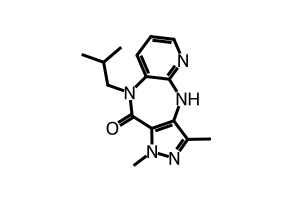 Cc1nn(C)c2c1Nc1ncccc1N(CC(C)C)C2=O